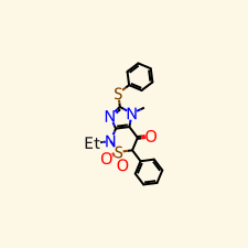 CCN1c2nc(Sc3ccccc3)n(C)c2C(=O)C(c2ccccc2)S1(=O)=O